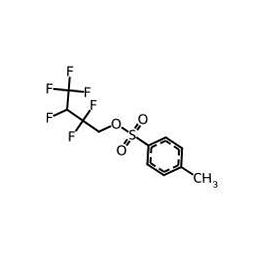 Cc1ccc(S(=O)(=O)OCC(F)(F)C(F)C(F)(F)F)cc1